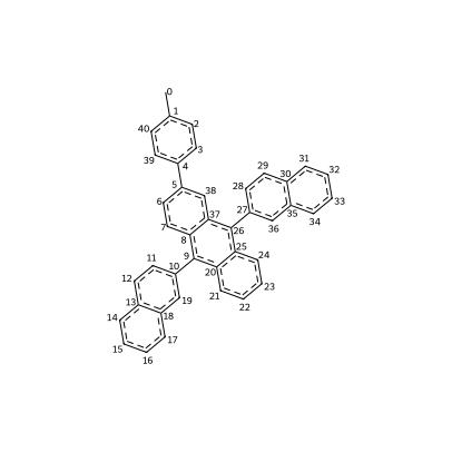 Cc1ccc(-c2ccc3c(-c4ccc5ccccc5c4)c4ccccc4c(-c4ccc5ccccc5c4)c3c2)cc1